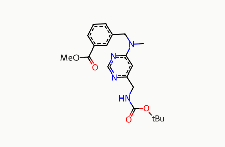 COC(=O)c1cccc(CN(C)c2cc(CNC(=O)OC(C)(C)C)ncn2)c1